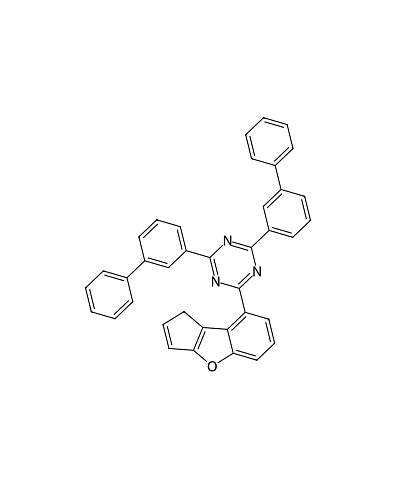 C1=Cc2oc3cccc(-c4nc(-c5cccc(-c6ccccc6)c5)nc(-c5cccc(-c6ccccc6)c5)n4)c3c2C1